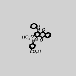 O=C(O)c1ccc(N=Nc2c(S(=O)(=O)O)cc(NC3CCCCC3)c3c2C(=O)c2ccccc2C3=O)cc1